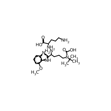 COc1cccc2nc(C(N)CCCN(C(=O)O)C(C)(C)C)[nH]c12.NCCCC(N)C(=O)O